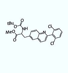 COC(=O)C(Cc1ccc2nc(-c3c(Cl)cccc3Cl)ccc2c1)NC(=O)OC(C)(C)C